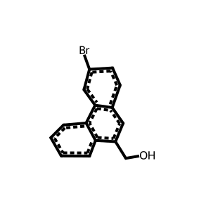 OCc1cc2ccc(Br)cc2c2ccccc12